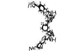 C#Cc1ccc(CC(=O)Nc2nnc([C@H]3CCC[C@H](c4nnc(NC(=O)Cc5ccc(C#N)cn5)s4)C3)s2)nc1